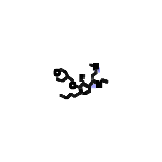 C=C/N=C(\C/C=N\C)c1ccc(CCCC)c(OCC2CCOCC2)c1F